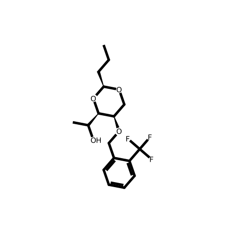 CCC[C@H]1OC[C@@H](OCc2ccccc2C(F)(F)F)[C@@H](C(C)O)O1